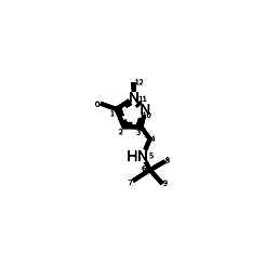 Cc1cc(CNC(C)(C)C)nn1C